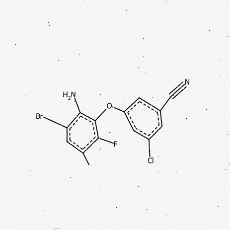 Cc1cc(Br)c(N)c(Oc2cc(Cl)cc(C#N)c2)c1F